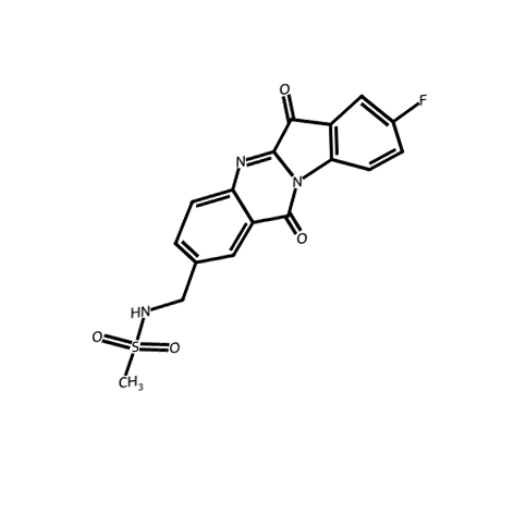 CS(=O)(=O)NCc1ccc2nc3n(c(=O)c2c1)-c1ccc(F)cc1C3=O